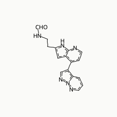 O=CNCCc1cc2c(-c3cnn4ncccc34)ccnc2[nH]1